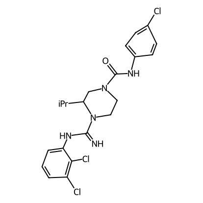 CC(C)C1CN(C(=O)Nc2ccc(Cl)cc2)CCN1C(=N)Nc1cccc(Cl)c1Cl